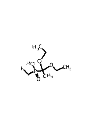 CCOC(C)(OCC)P(=O)(O)CF